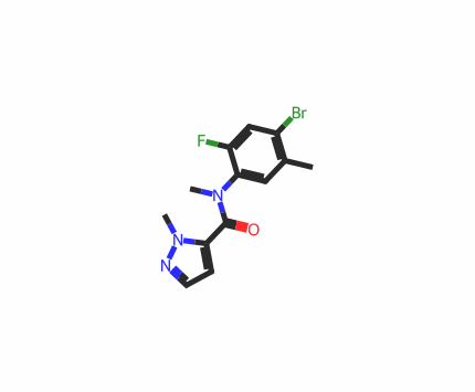 Cc1cc(N(C)C(=O)c2ccnn2C)c(F)cc1Br